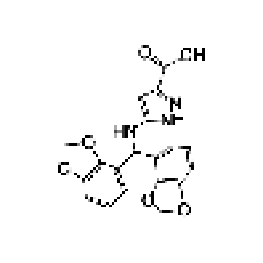 O=C(O)c1cc(NC(c2cccc3c2OCO3)c2cccc3c2OCO3)[nH]n1